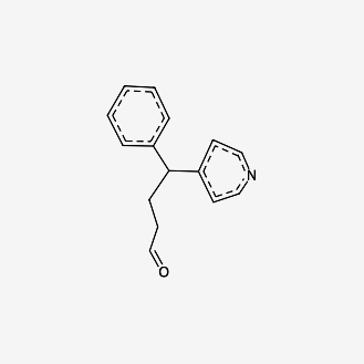 O=CCCC(c1ccccc1)c1ccncc1